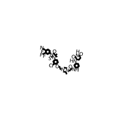 CC1CN(CCOc2ccc(N3C(=S)N(c4ccc(C#N)c(C(F)(F)F)c4)C(=O)C3(C)C)cc2Cl)CCN1CC(=O)Nc1cccc(NC2CCC(=O)NC2=O)c1